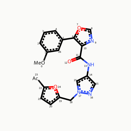 COc1cccc(-c2ocnc2C(=O)Nc2cnn(Cc3ccc(C(C)=O)o3)c2)c1